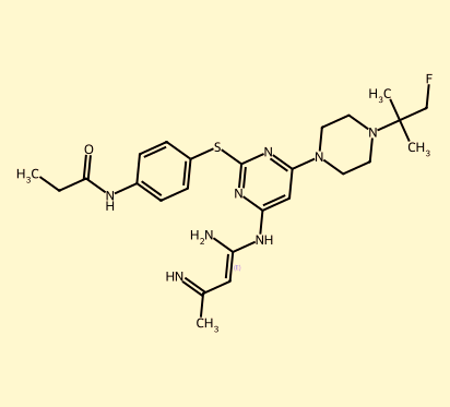 CCC(=O)Nc1ccc(Sc2nc(N/C(N)=C/C(C)=N)cc(N3CCN(C(C)(C)CF)CC3)n2)cc1